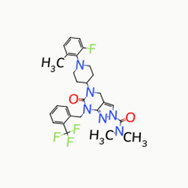 Cc1cccc(F)c1N1CCC(N2Cc3cn(C(=O)N(C)C)nc3N(Cc3ccccc3C(F)(F)F)C2=O)CC1